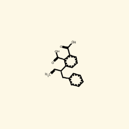 C=CC(Cc1ccccc1)c1cccc(C(=O)O)c1C(=O)O